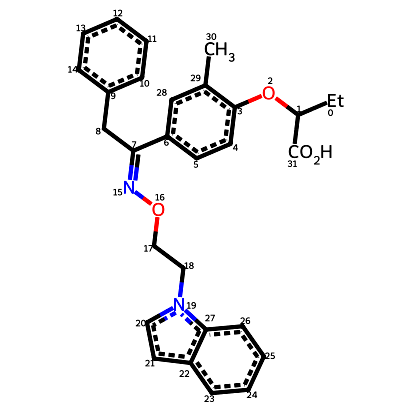 CCC(Oc1ccc(C(Cc2ccccc2)=NOCCn2ccc3ccccc32)cc1C)C(=O)O